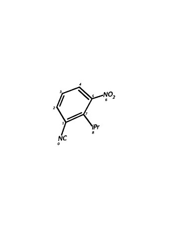 [C-]#[N+]c1cccc([N+](=O)[O-])c1C(C)C